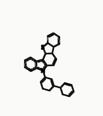 C1=CCC(C2=CC(n3c4c(c5ccccc53)C3SC5C=CC=CC5C3C=C4)=CCC2)C=C1